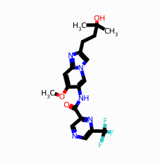 COc1cc2nc(CCC(C)(C)O)cn2cc1NC(=O)c1cncc(C(F)(F)F)n1